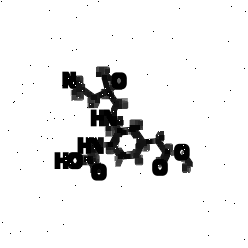 COC(=O)Cc1ccc(NC(=O)O)c(NCC2(CC#N)CO2)c1